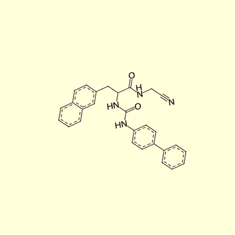 N#CCNC(=O)C(Cc1ccc2ccccc2c1)NC(=O)Nc1ccc(-c2ccccc2)cc1